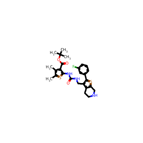 Cc1sc(NC(=O)NCc2c(-c3cccc(F)c3)sc3c2CCNC3)c(C(=O)OC(C)(C)C)c1C